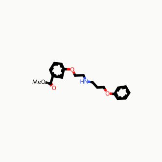 COC(=O)c1cccc(OCCNCCCOc2ccccc2)c1